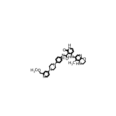 COCc1cc(N2CCN(c3ccc(NC(=O)c4c(Nc5cnc6c(c5C)NCCO6)cc[nH]c4=O)cc3)CC2)ccn1